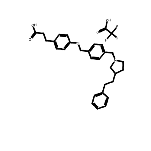 O=C(O)C(F)(F)F.O=C(O)CCc1ccc(OCc2ccc(CN3CCC(CCc4ccccc4)C3)cc2)cc1